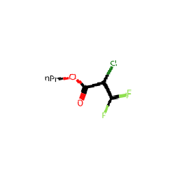 CCCOC(=O)C(Cl)C(F)F